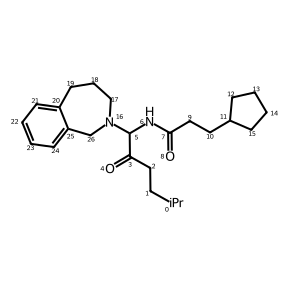 CC(C)CCC(=O)C(NC(=O)CCC1CCCC1)N1CCCc2ccccc2C1